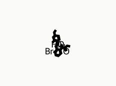 CCC(=O)N(O)c1cccc(Br)c1COc1ccc(CC)cc1C